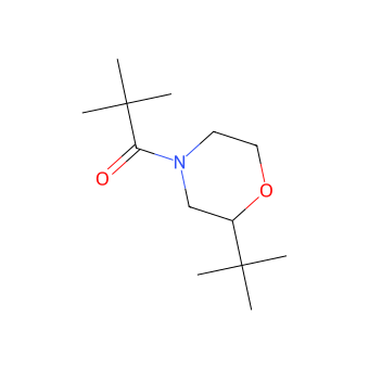 CC(C)(C)C(=O)N1CCOC(C(C)(C)C)C1